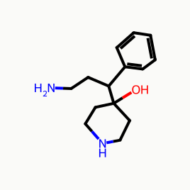 NCCC(c1ccccc1)C1(O)CCNCC1